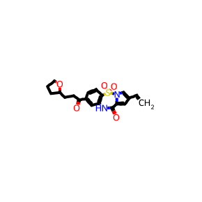 C=Cc1cc2n(c1)S(=O)(=O)c1ccc(C(=O)CCC3CCCO3)cc1NC2=O